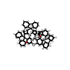 c1ccc2c(c1)-c1ccccc1C21c2cccc3c2N2c4c1cccc4[N+]14c5c(ccc6c5-n5c7c(cccc7c7ccc[n+]1c75)[Si]61c5ccccc5-c5ccccc51)Oc1ccc(c2[n+]14)C31c2ccccc2-c2ccccc21